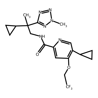 Cn1nnc(C(C)(CNC(=O)c2cc(OCC(F)(F)F)c(C3CC3)cn2)C2CC2)n1